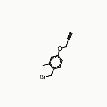 C#CCOc1ccc(CBr)c(C)c1